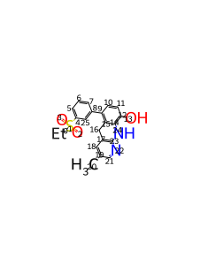 CCS(=O)(=O)c1cccc(-c2ccc(O)c3c2Cc2cc(C)cnc2N3)c1